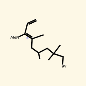 C=C/C(NC)=C(\C)CC(C)CC(C)(C)CC(C)C